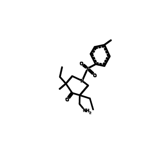 CCC1(C)CN(S(=O)(=O)c2ccc(C)cc2)CC(CC)(CN)C1=O